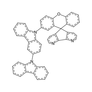 c1ccc2c(c1)Oc1ccc(-n3c4ccccc4c4cc(-n5c6ccccc6c6ccccc65)ccc43)cc1C21c2cccnc2-c2ncccc21